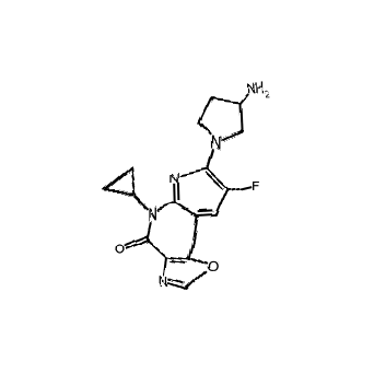 NC1CCN(c2nc3c(cc2F)c2ocnc2c(=O)n3C2CC2)C1